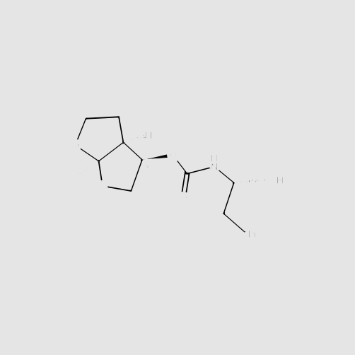 CC(C)C[C@H](NC(=O)O[C@H]1CO[C@H]2OCC[C@H]21)C(=O)O